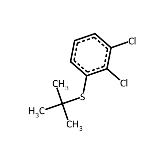 CC(C)(C)Sc1cccc(Cl)c1Cl